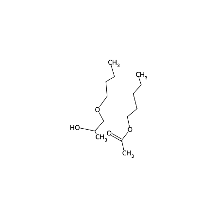 CCCCCOC(C)=O.CCCCOCC(C)O